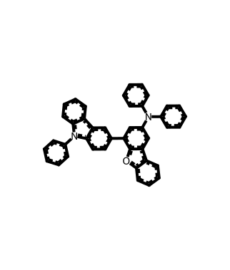 c1ccc(N(c2ccccc2)c2cc(-c3ccc4c(c3)c3ccccc3n4-c3ccccc3)c3oc4ccccc4c3c2)cc1